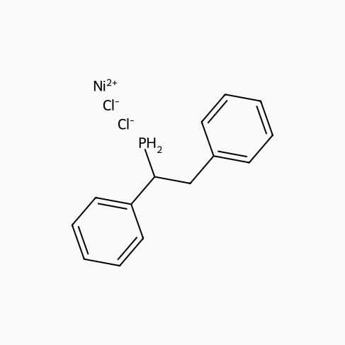 PC(Cc1ccccc1)c1ccccc1.[Cl-].[Cl-].[Ni+2]